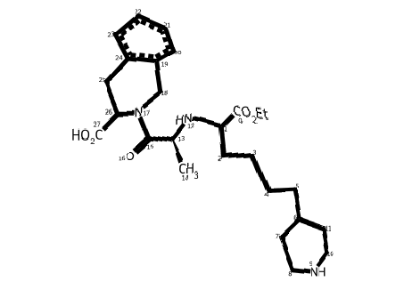 CCOC(=O)C(CCCCC1CCNCC1)N[C@@H](C)C(=O)N1Cc2ccccc2CC1C(=O)O